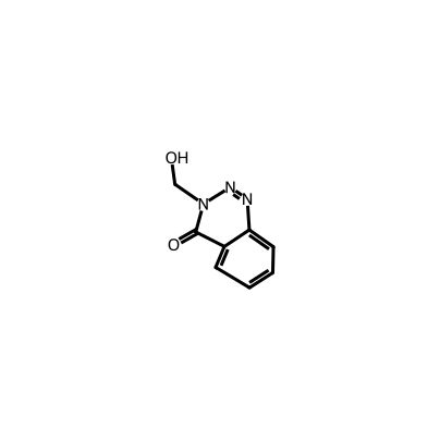 O=c1c2ccccc2nnn1CO